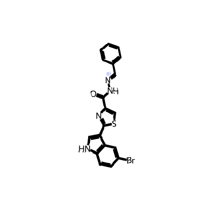 O=C(N/N=C/c1ccccc1)c1csc(-c2c[nH]c3ccc(Br)cc23)n1